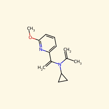 C=C(C)N(C(=C)c1cccc(OC)n1)C1CC1